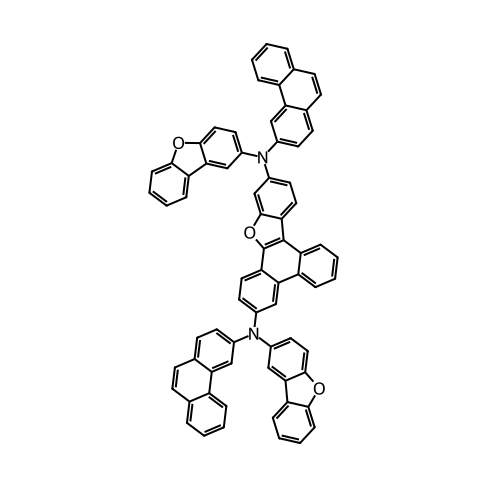 c1ccc2c(c1)ccc1ccc(N(c3ccc4c(c3)oc3c5ccc(N(c6ccc7ccc8ccccc8c7c6)c6ccc7oc8ccccc8c7c6)cc5c5ccccc5c43)c3ccc4oc5ccccc5c4c3)cc12